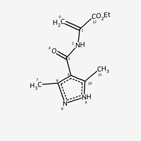 C=C(NC(=O)c1c(C)n[nH]c1C)C(=O)OCC